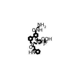 NCCNC(=O)c1cccc(-c2cccc(CN(CCN3CCCC3=O)C(=O)Cc3c[nH]c4ccccc34)c2)c1.O=C(O)C(F)(F)F